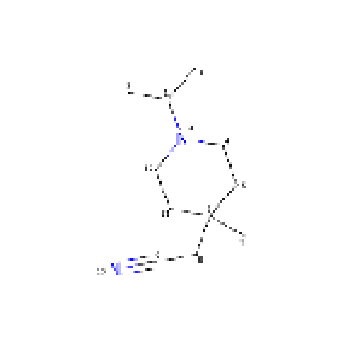 CC(C)N1CCC(C)(CC#N)CC1